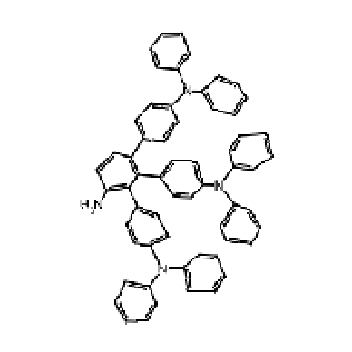 Nc1ccc(-c2ccc(N(c3ccccc3)c3ccccc3)cc2)c(-c2ccc(N(c3ccccc3)c3ccccc3)cc2)c1-c1ccc(N(c2ccccc2)c2ccccc2)cc1